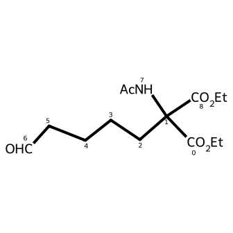 CCOC(=O)C(CCCCC=O)(NC(C)=O)C(=O)OCC